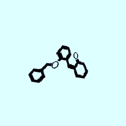 O=C1CCCCC1=Cc1ccccc1OCc1ccccc1